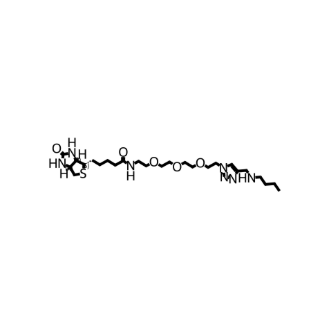 CCCCNCc1cn(CCOCCOCCOCCNC(=O)CCCC[C@@H]2SC[C@@H]3NC(=O)N[C@@H]32)nn1